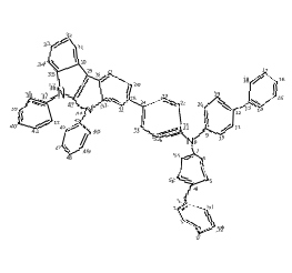 c1ccc(-c2ccc(N(c3ccc(-c4ccccc4)cc3)c3ccc(-c4ccc5c6c7ccccc7n(-c7ccccc7)c6n(-c6ccccc6)c5c4)cc3)cc2)cc1